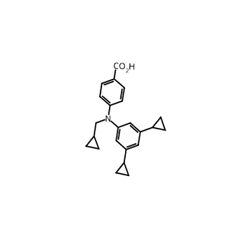 O=C(O)c1ccc(N(CC2CC2)c2cc(C3CC3)cc(C3CC3)c2)cc1